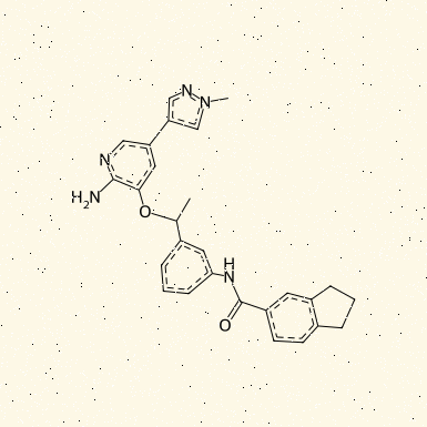 CC(Oc1cc(-c2cnn(C)c2)cnc1N)c1cccc(NC(=O)c2ccc3c(c2)CCC3)c1